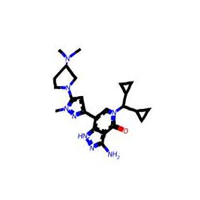 CN(C)[C@H]1CCN(c2cc(-c3cn(C(C4CC4)C4CC4)c(=O)c4c(N)n[nH]c34)nn2C)C1